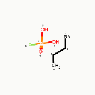 CC[CH2][Na].O=P(O)(O)F